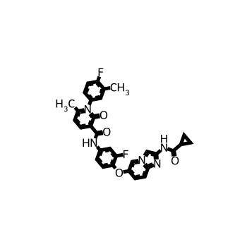 Cc1cc(-n2c(C)ccc(C(=O)Nc3ccc(Oc4ccc5nc(NC(=O)C6CC6)cn5c4)c(F)c3)c2=O)ccc1F